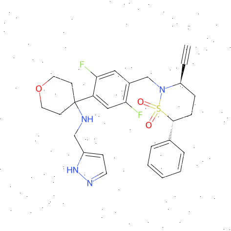 C#C[C@H]1CC[C@H](c2ccccc2)S(=O)(=O)N1Cc1cc(F)c(C2(NCc3ccn[nH]3)CCOCC2)cc1F